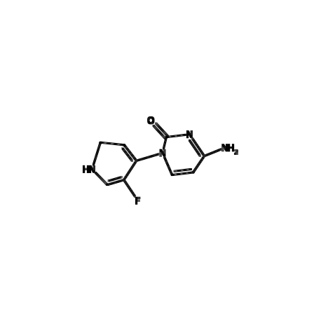 Nc1ccn(C2=CCNC=C2F)c(=O)n1